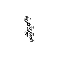 CC1(N)CCN(c2ccc(Nc3ncc(-c4cnco4)c(-c4cnc(N5CC(O)C5)s4)n3)cc2)CC1